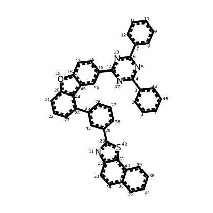 c1ccc(-c2nc(-c3ccccc3)nc(-c3ccc4oc5cccc(-c6cccc(-c7nc8ccc9ccccc9c8s7)c6)c5c4c3)n2)cc1